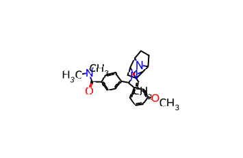 C=CCN1C2CCC1C1CCC2N1C(c1ccc(C(=O)N(C)C)cc1)c1cccc(OC)c1